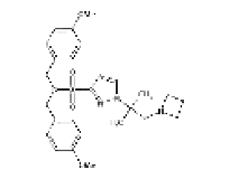 COc1ccc(CN(Cc2ccc(OC)cc2)S(=O)(=O)c2ccn(C(C)(C)CN3CCC3)n2)cc1